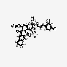 COc1cc2c(c3c1c(=O)c1cc4ccccc4cc1n3C)[C@H](OC(C)=O)[C@H](OC(=O)C=Cc1ccc(Cl)cc1Cl)C(C)(C)O2